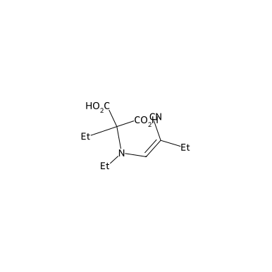 CCC(C#N)=CN(CC)C(CC)(C(=O)O)C(=O)O